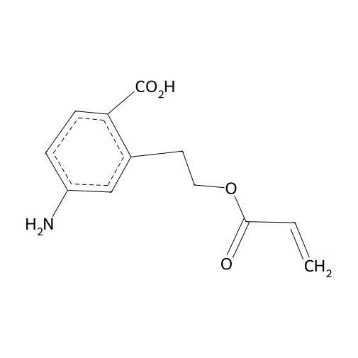 C=CC(=O)OCCc1cc(N)ccc1C(=O)O